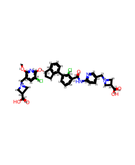 COc1nc(O[C@H]2CCc3c(-c4cccc(C(=O)Nc5ccc(CN6CC(C(=O)O)C6)cn5)c4Cl)cccc32)c(Cl)cc1CN1CC(C(=O)O)C1